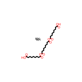 O=C(O)CCCCCCCC(=O)OC(=O)CCCCCCCC(=O)OC(=O)CCCCCCCC(=O)O.[KH].[KH]